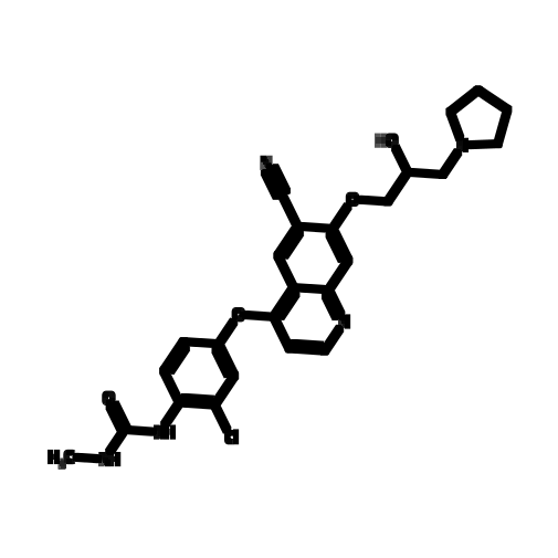 CNC(=O)Nc1ccc(Oc2ccnc3cc(OCC(O)CN4CCCC4)c(C#N)cc23)cc1Cl